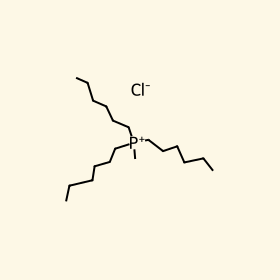 CCCCCC[P+](C)(CCCCCC)CCCCCC.[Cl-]